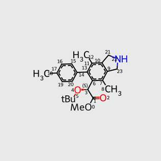 COC(=O)[C@@H](OC(C)(C)C)c1c(C)c2c(c(C)c1-c1ccc(C)cc1)CNC2